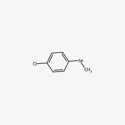 C[Se]c1ccc(Cl)cc1